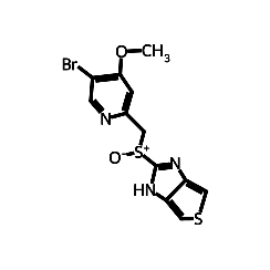 COc1cc(C[S+]([O-])c2nc3cscc3[nH]2)ncc1Br